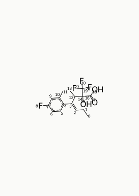 CCC=C(c1ccc(F)cc1C)C(C)C(O)(C(=O)O)C(F)(F)F